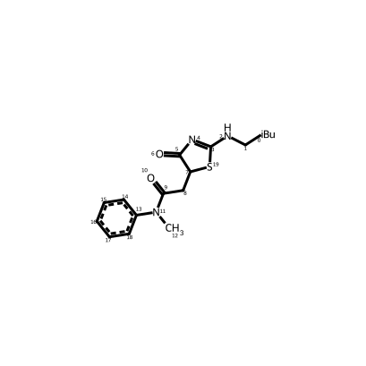 CCC(C)CNC1=NC(=O)C(CC(=O)N(C)c2ccccc2)S1